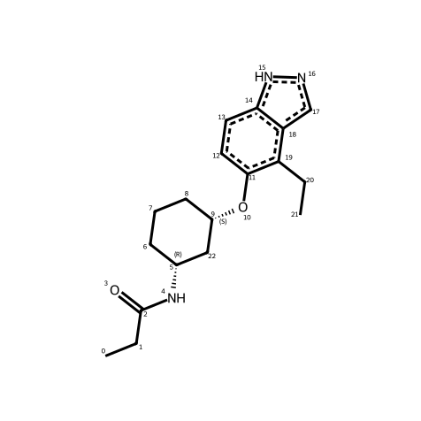 CCC(=O)N[C@@H]1CCC[C@H](Oc2ccc3[nH]ncc3c2CC)C1